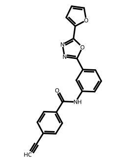 C#Cc1ccc(C(=O)Nc2cccc(-c3nnc(-c4ccco4)o3)c2)cc1